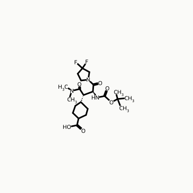 CN(C)C(=O)[C@@H](C1CCC(C(=O)O)CC1)[C@H](NC(=O)OC(C)(C)C)C(=O)N1CCC(F)(F)C1